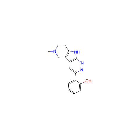 CN1CCc2[nH]c3nnc(-c4ccccc4O)cc3c2C1